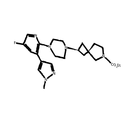 CCOC(=O)N1CC[C@]2(C1)C[C@H](N1CCN(c3ncc(F)cc3-c3cnn(C)c3)CC1)C2